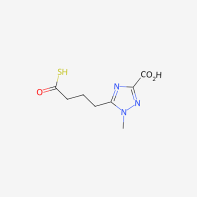 Cn1nc(C(=O)O)nc1CCCC(=O)S